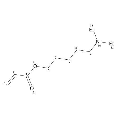 C=CC(=O)OCCCCCN(CC)CC